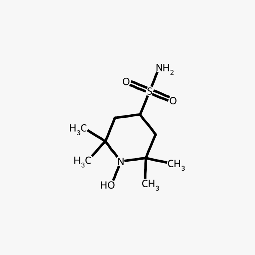 CC1(C)CC(S(N)(=O)=O)CC(C)(C)N1O